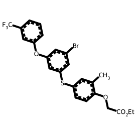 CCOC(=O)COc1ccc(Sc2cc(Br)cc(Oc3cccc(C(F)(F)F)c3)c2)cc1C